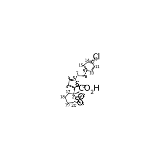 O=C(O)C[C@]1(c2ccc(/C=C/c3ccc(Cl)cc3)s2)CCCCS1(=O)=O